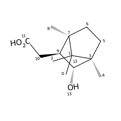 CC1(C)[C@@]2(C)CC[C@]1(C)[C@H](CC(=O)O)[C@H]2O